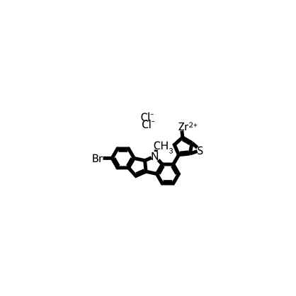 CN1c2c(cccc2C2=C3SC3=[C]([Zr+2])C2)C2=Cc3cc(Br)ccc3C21.[Cl-].[Cl-]